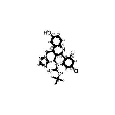 CC(C)(C)OC(=O)NCc1c(-c2ccc(Cl)cc2Cl)nc2ccc(O)cc2c1Cn1cncn1